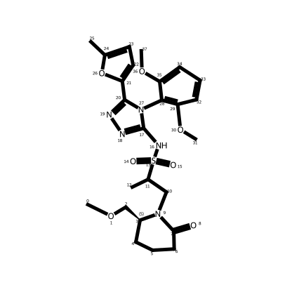 COC[C@@H]1CCCC(=O)N1CC(C)S(=O)(=O)Nc1nnc(-c2ccc(C)o2)n1-c1c(OC)cccc1OC